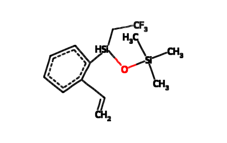 C=Cc1ccccc1[SiH](CC(F)(F)F)O[Si](C)(C)C